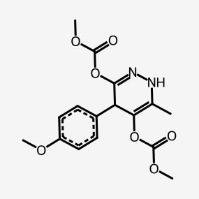 COC(=O)OC1=NNC(C)=C(OC(=O)OC)C1c1ccc(OC)cc1